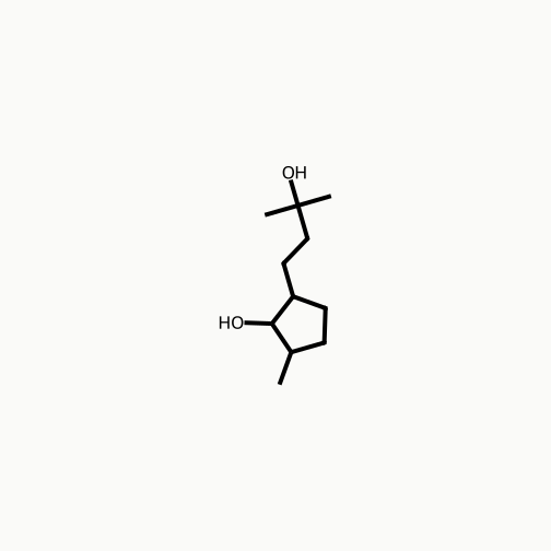 CC1CCC(CCC(C)(C)O)C1O